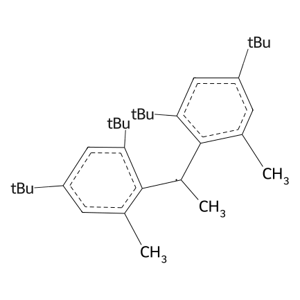 C[C](c1c(C)cc(C(C)(C)C)cc1C(C)(C)C)c1c(C)cc(C(C)(C)C)cc1C(C)(C)C